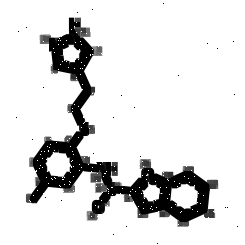 Cc1ccc(SCCc2cn[nH]c2)c(N[S+]([O-])c2cc3ccccc3o2)c1